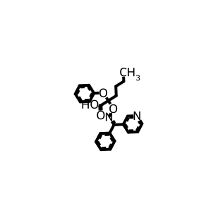 CCCCC(ON=C(c1ccccc1)c1cccnc1)(Oc1ccccc1)C(=O)O